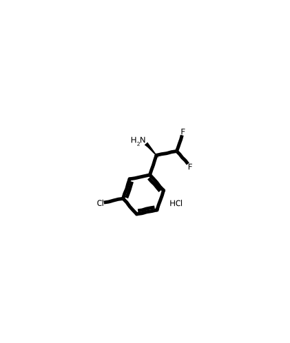 Cl.N[C@H](c1cccc(Cl)c1)C(F)F